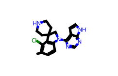 Cc1ccc2c(c1Cl)C1(CCNCC1)CN2c1ncnc2[nH]ccc12